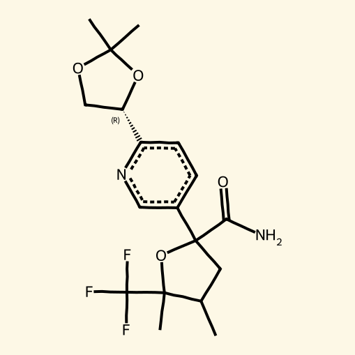 CC1CC(C(N)=O)(c2ccc([C@@H]3COC(C)(C)O3)nc2)OC1(C)C(F)(F)F